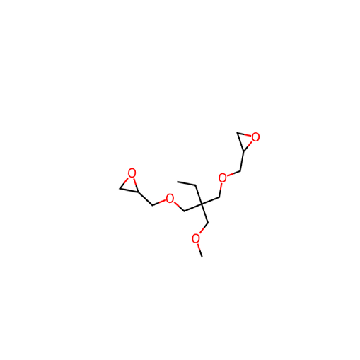 CCC(COC)(COCC1CO1)COCC1CO1